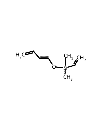 C=CC=CO[Si](C)(C)C=C